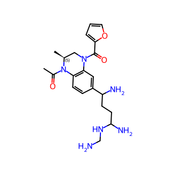 CC(=O)N1c2ccc(C(N)CCC(N)NCN)cc2N(C(=O)c2ccco2)C[C@@H]1C